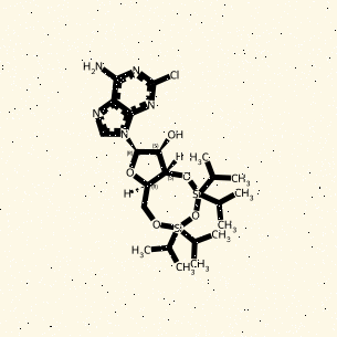 CC(C)[Si]1(C(C)C)OC[C@H]2O[C@@H](n3cnc4c(N)nc(Cl)nc43)[C@@H](O)[C@@H]2O[Si](C(C)C)(C(C)C)O1